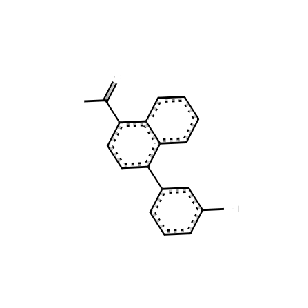 O=C(O)c1ccc(-c2cccc(O)c2)c2ccccc12